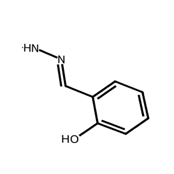 [NH]N=Cc1ccccc1O